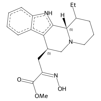 CCC1CCCN2C[C@@H](CC(=NO)C(=O)OC)c3c([nH]c4ccccc34)[C@H]12